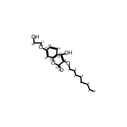 CCCCCCCCOc1c(O)c2ccc(OCCO)cc2oc1=O